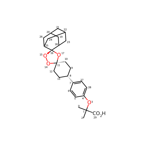 CC(C)(Oc1ccc([C@H]2CC[C@]3(CC2)OO[C@]2(O3)C3CC4CC(C3)CC2C4)cc1)C(=O)O